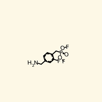 NCc1ccc(CP(=O)(OF)OF)c(F)c1